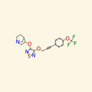 FC(F)(F)Oc1ccc(C#CCOc2nsnc2OC2CN3CCC2C3)cc1